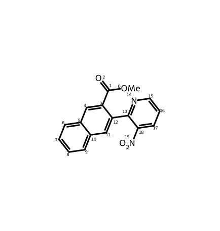 COC(=O)c1cc2ccccc2cc1-c1ncccc1[N+](=O)[O-]